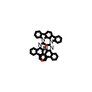 c1ccc2c(c1)c1ccccc1c1nc(-n3c4ccccc4c4ccc5c6ccccc6n(-c6cnc7c8ccccc8c8ccccc8c7n6)c5c43)cnc21